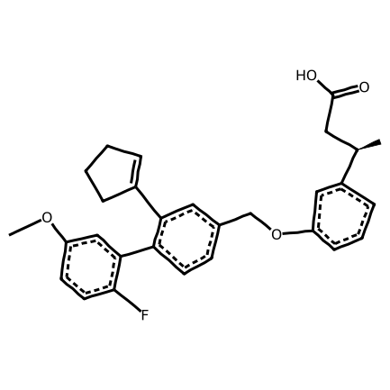 COc1ccc(F)c(-c2ccc(COc3cccc([C@H](C)CC(=O)O)c3)cc2C2=CCCC2)c1